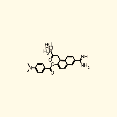 CN(C)c1ccc(C(=O)Oc2ccc3cc(C(=N)N)ccc3c2CC(N)=O)cc1.Cl.Cl